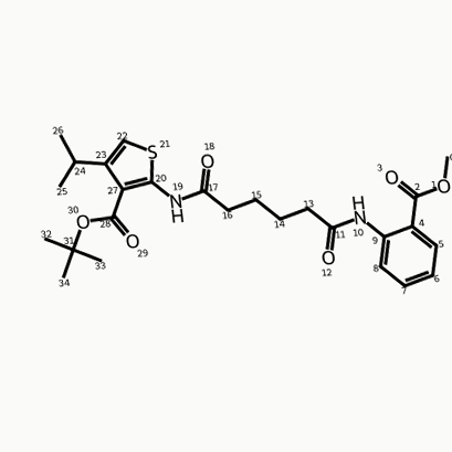 COC(=O)c1ccccc1NC(=O)CCCCC(=O)Nc1scc(C(C)C)c1C(=O)OC(C)(C)C